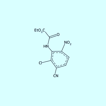 CCOC(=O)C(=O)Nc1c([N+](=O)[O-])ccc(C#N)c1Cl